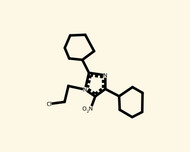 O=[N+]([O-])c1c(C2CCCCC2)nc(C2CCCCC2)n1CCCl